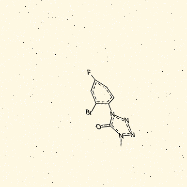 Cn1nnn(-c2ccc(F)cc2Br)c1=O